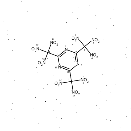 O=[N+]([O-])C(c1nc(C([N+](=O)[O-])([N+](=O)[O-])[N+](=O)[O-])nc(C([N+](=O)[O-])([N+](=O)[O-])[N+](=O)[O-])n1)([N+](=O)[O-])[N+](=O)[O-]